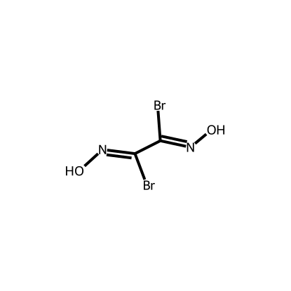 O/N=C(Br)/C(Br)=N/O